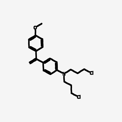 C=C(c1ccc(OC)cc1)c1ccc(N(CCCCl)CCCCl)cc1